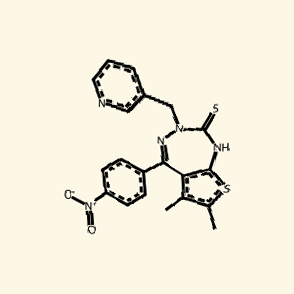 Cc1sc2c(c1C)C(c1ccc([N+](=O)[O-])cc1)=NN(Cc1cccnc1)C(=S)N2